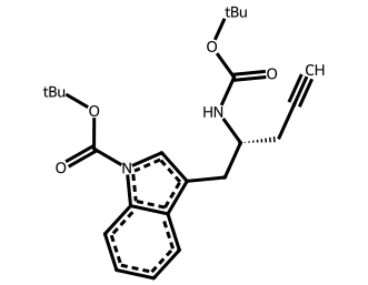 C#CC[C@H](Cc1cn(C(=O)OC(C)(C)C)c2ccccc12)NC(=O)OC(C)(C)C